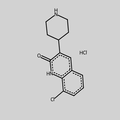 Cl.O=c1[nH]c2c(Cl)cccc2cc1C1CCNCC1